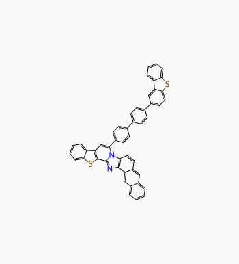 c1ccc2cc3c(ccc4c3nc3c5sc6ccccc6c5cc(-c5ccc(-c6ccc(-c7ccc8sc9ccccc9c8c7)cc6)cc5)n43)cc2c1